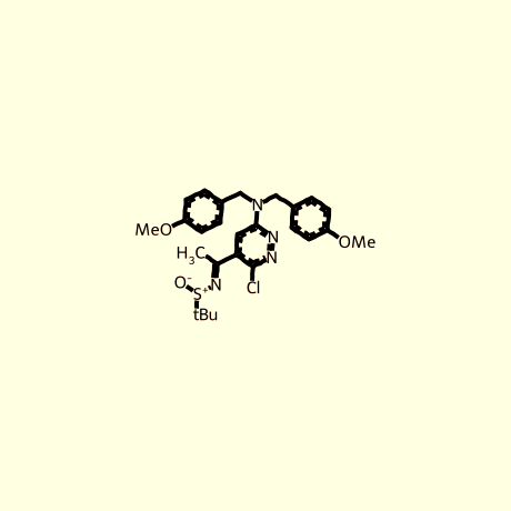 COc1ccc(CN(Cc2ccc(OC)cc2)c2cc(/C(C)=N/[S+]([O-])C(C)(C)C)c(Cl)nn2)cc1